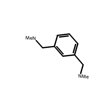 CNCc1[c]ccc(CNC)c1